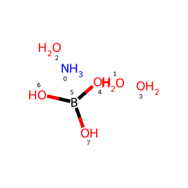 N.O.O.O.OB(O)O